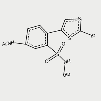 CC(=O)Nc1ccc(-c2cnc(Br)s2)c(S(=O)(=O)NC(C)(C)C)c1